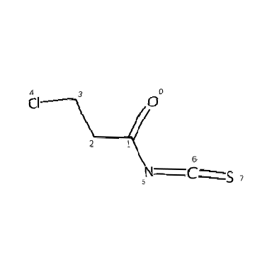 O=C(CCCl)N=C=S